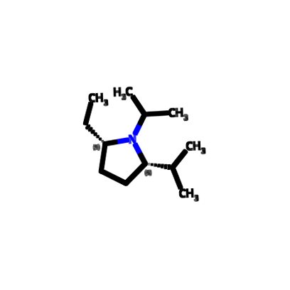 CC[C@H]1CC[C@@H](C(C)C)N1C(C)C